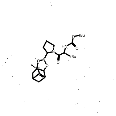 CC1=C2CC1C[C@]1(C)OB(C3CCCN3C(=O)C(NC(=O)OC(C)(C)C)C(C)(C)C)OC21